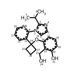 CC(C)c1nccn1-c1ncccc1C1(Oc2cccc(O)c2CO)CCC1